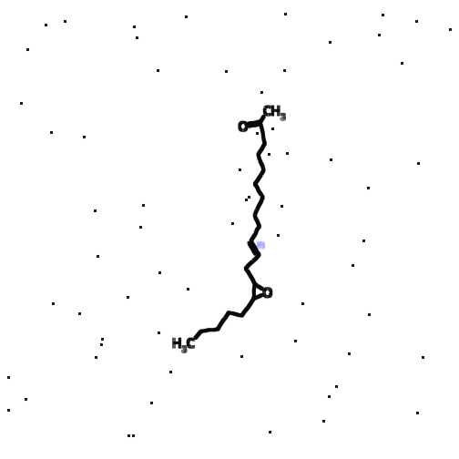 CCCCCC1OC1C/C=C/CCCCCCCC(C)=O